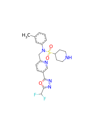 Cc1cccc(N(Cc2ccc(-c3nnc(C(F)F)o3)cn2)S(=O)(=O)C2CCNCC2)c1